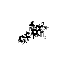 NCC1(c2ccccn2)CCN(c2c(F)c(N)c3c(=O)c(C(=O)O)cn(C4CC4)c3c2F)C1